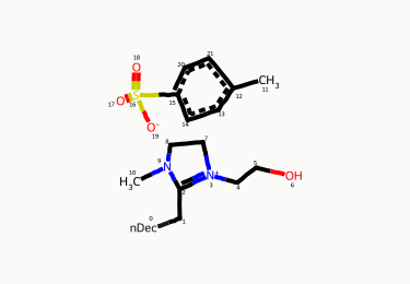 CCCCCCCCCCCC1=[N+](CCO)CCN1C.Cc1ccc(S(=O)(=O)[O-])cc1